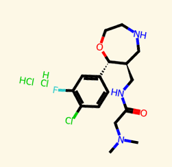 CN(C)CC(=O)NC[C@@H]1CNCCO[C@H]1c1ccc(Cl)c(F)c1.Cl.Cl